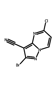 N#Cc1c(Br)nn2ccc(Cl)nc12